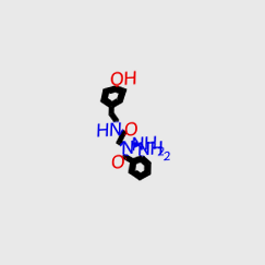 Nc1ccccc1C(=O)N(N)CC(=O)NCCc1ccc(O)cc1